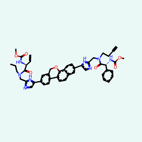 C#CCCN(Cc1ncc(-c2ccc3c4c(ccc3c2)-c2ccc(-c3cnc(CN(CCC)C(=O)[C@H](C=C)NC(=O)OC)[nH]3)cc2CO4)[nH]1)C(=O)[C@H](NC(=O)OC)c1ccccc1